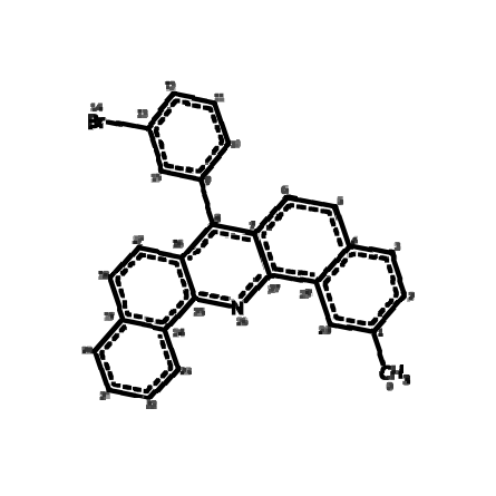 Cc1ccc2ccc3c(-c4cccc(Br)c4)c4ccc5ccccc5c4nc3c2c1